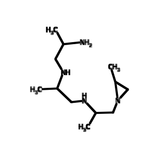 CC(N)CNC(C)CNC(C)CN1CC1C